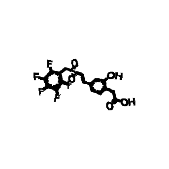 O=C(O)Cc1ccc(/C=C/S(=O)(=O)Cc2c(F)c(F)c(F)c(F)c2F)cc1O